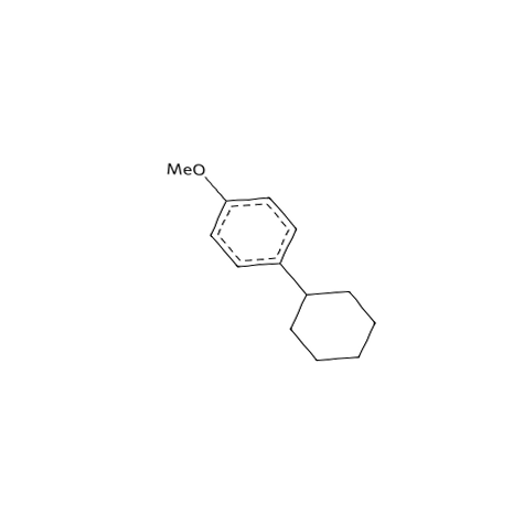 [CH2-][OH+]c1ccc(C2CCCCC2)cc1